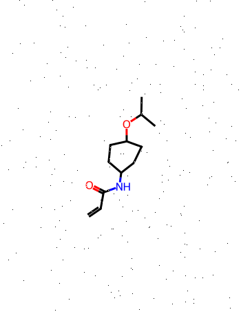 C=CC(=O)NC1CCC(OC(C)C)CC1